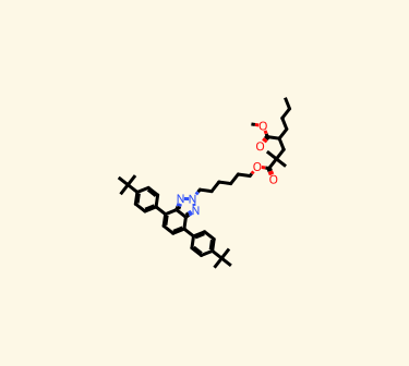 CCCCC(CC(C)(C)C(=O)OCCCCCCn1nc2c(-c3ccc(C(C)(C)C)cc3)ccc(-c3ccc(C(C)(C)C)cc3)c2n1)C(=O)OC